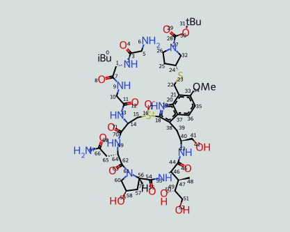 CC[C@H](C)[C@H](NC(=O)CN)C(=O)NCC(=O)N[C@H]1C[S+]([O-])c2[nH]c3c(CS[C@@H]4CCN(C(=O)OC(C)(C)C)C4)c(OC)ccc3c2C[C@@H](CO)NC(=O)[C@H]([C@@H](C)[C@@H](O)CO)NC(=O)[C@@H]2C[C@@H](O)CN2C(=O)[C@H](CC(N)=O)NC1=O